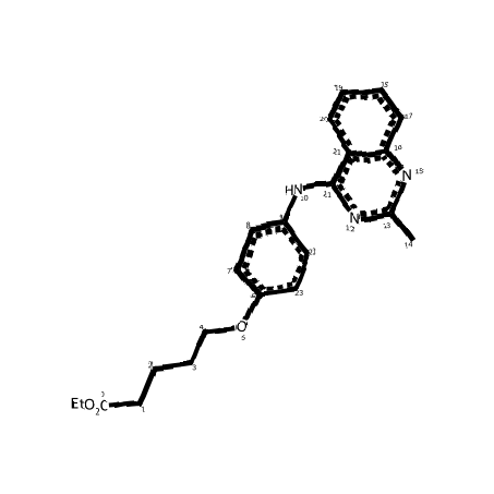 CCOC(=O)CCCCOc1ccc(Nc2nc(C)nc3ccccc23)cc1